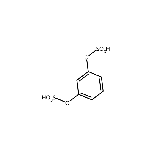 O=S(=O)(O)Oc1[c]ccc(OS(=O)(=O)O)c1